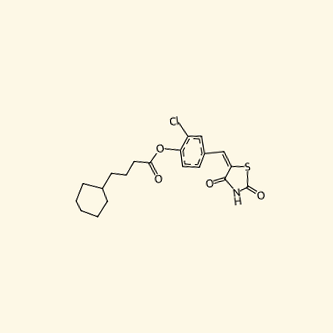 O=C(CCCC1CCCCC1)Oc1ccc(C=C2SC(=O)NC2=O)cc1Cl